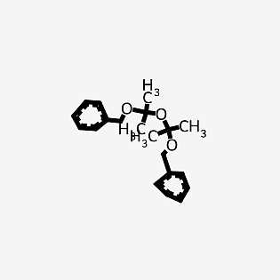 CC(C)(OCc1ccccc1)OC(C)(C)OCc1ccccc1